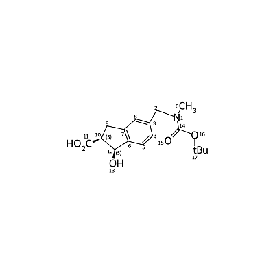 CN(Cc1ccc2c(c1)C[C@H](C(=O)O)[C@@H]2O)C(=O)OC(C)(C)C